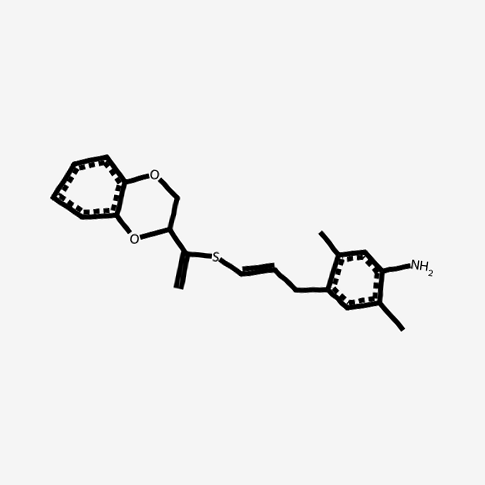 C=C(S/C=C/Cc1cc(C)c(N)cc1C)C1COc2ccccc2O1